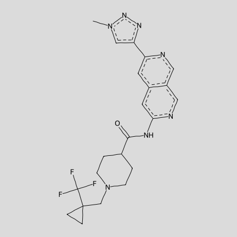 Cn1cc(-c2cc3cc(NC(=O)C4CCN(CC5(C(F)(F)F)CC5)CC4)ncc3cn2)nn1